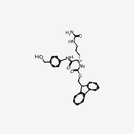 NC(=O)NCCC[C@H](NC(=O)OCC1c2ccccc2-c2ccccc21)C(=O)Nc1ccc(CO)cc1